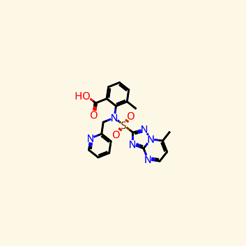 Cc1cccc(C(=O)O)c1N(Cc1ccccn1)S(=O)(=O)c1nc2nccc(C)n2n1